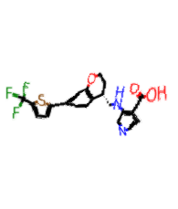 O=C(O)c1ccncc1NC[C@H]1CCOc2cc(-c3ccc(C(F)(F)F)s3)ccc21